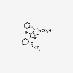 O=C1CN(C(=O)O)Cc2[nH]c(-c3ccncc3OCC(F)(F)F)c(Nc3ccccc3)c21